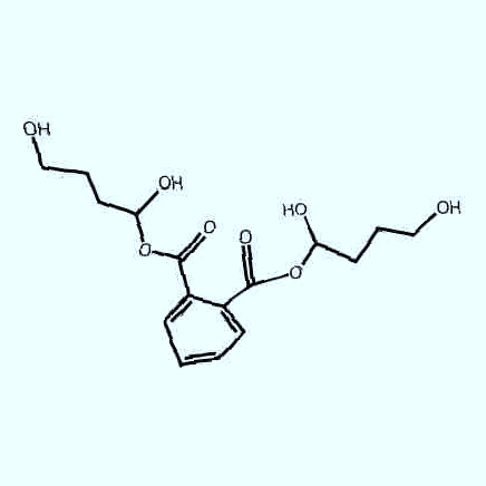 O=C(OC(O)CCCO)c1ccccc1C(=O)OC(O)CCCO